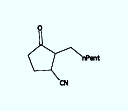 CCCCCCC1C(=O)CCC1C#N